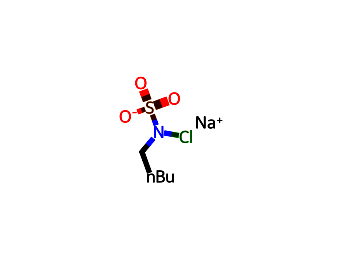 CCCCCN(Cl)S(=O)(=O)[O-].[Na+]